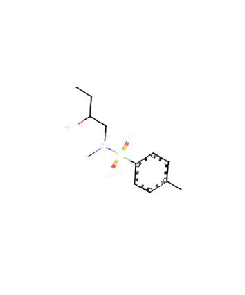 CCC(O)CN(C)S(=O)(=O)c1ccc(C)cc1